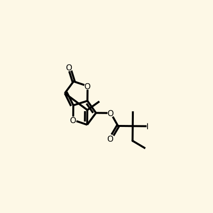 CCC(C)(I)C(=O)Oc1c2c3oc1c(C)c3C(=O)O2